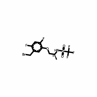 C[C@@H](COc1cc(CBr)c(F)cc1F)NS(=O)(=O)C(F)(F)F